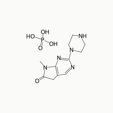 CN1C(=O)Cc2cnc(N3CCNCC3)nc21.O=P(O)(O)O